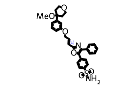 COC1(c2cccc(OC/C=C/c3nc(-c4ccccc4)c(-c4ccc(S(N)(=O)=O)cc4)o3)c2)CCOCC1